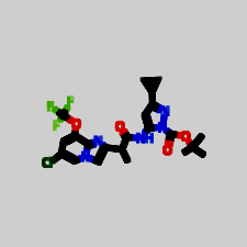 CC(C(=O)Nc1cc(C2CC2)nn1C(=O)OC(C)(C)C)c1cn2cc(Cl)cc(OC(F)(F)F)c2n1